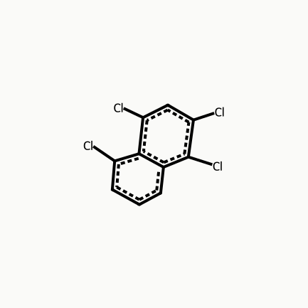 Clc1cc(Cl)c2c(Cl)cccc2c1Cl